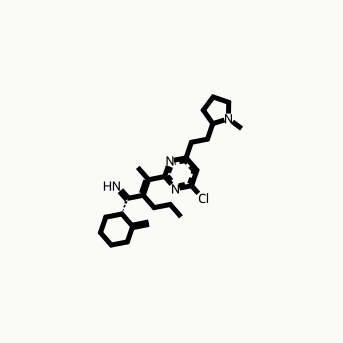 C=C1CCCC[C@@H]1C(=N)/C(CCC)=C(\C)c1nc(Cl)cc(CCC2CCCN2C)n1